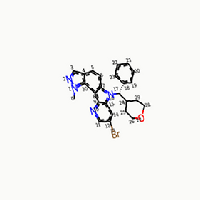 Cn1ncc2ccc3c(c4ncc(Br)cc4n3[C@H](c3ccccc3)C3CCOCC3)c21